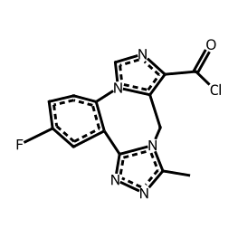 Cc1nnc2n1Cc1c(C(=O)Cl)ncn1-c1ccc(F)cc1-2